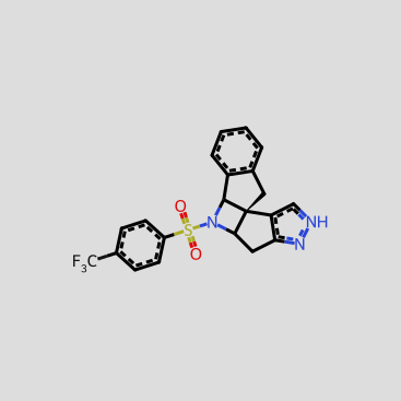 O=S(=O)(c1ccc(C(F)(F)F)cc1)N1C2Cc3n[nH]cc3[C@]23Cc2ccccc2C13